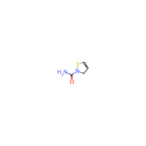 NC(=O)N1CC=[C]S1